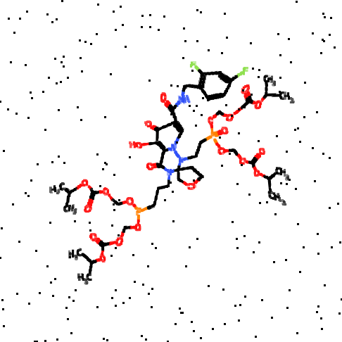 CC(C)OC(=O)OCOP(CCCN1C(=O)c2c(O)c(=O)c(C(=O)NCc3ccc(F)cc3F)cn2N(CCP(=O)(OCOC(=O)OC(C)C)OCOC(=O)OC(C)C)C12CCOC2)OCOC(=O)OC(C)C